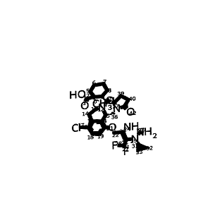 C[C@]1(C(=O)O)CCCC[C@H]1C(=O)N1CCc2c(Cl)ccc(OC/C(N)=C(\C(F)F)N(N)C3CC3)c2[C@H]1CN1CCCC1=O